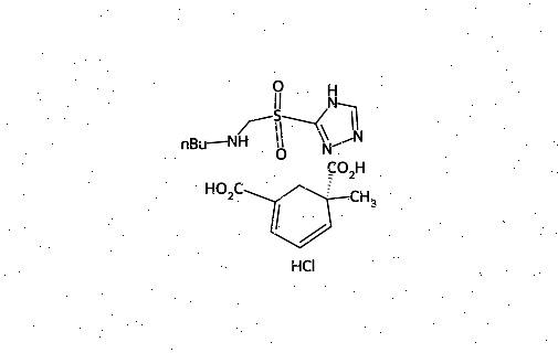 CCCCNCS(=O)(=O)c1nnc[nH]1.C[C@@]1(C(=O)O)C=CC=C(C(=O)O)C1.Cl